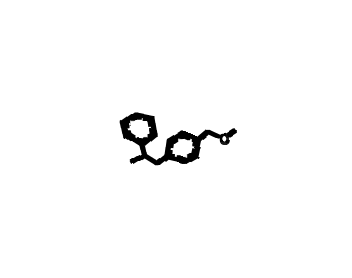 COCc1ccc(CC(C)c2ccccc2)cc1